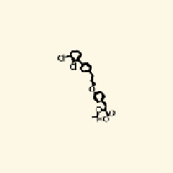 CCOC(Cc1ccc(OCC=Cc2ccc(-c3cccc(Cl)c3Cl)cc2)cc1)C(=O)O